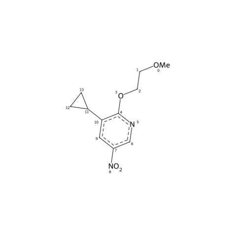 COCCOc1ncc([N+](=O)[O-])cc1C1CC1